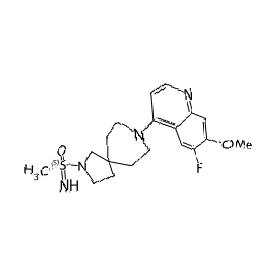 COc1cc2nccc(N3CCC4(CC3)CCN([S@@](C)(=N)=O)C4)c2cc1F